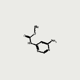 CC(C)(C)OC(=O)Nc1cc(N)ncn1